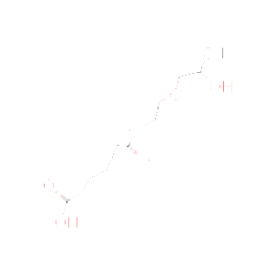 CC(O)COCCOC(=O)CCCCC(=O)O